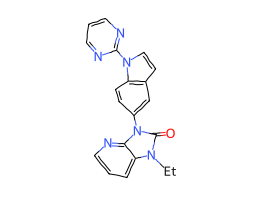 CCn1c(=O)n(-c2ccc3c(ccn3-c3ncccn3)c2)c2ncccc21